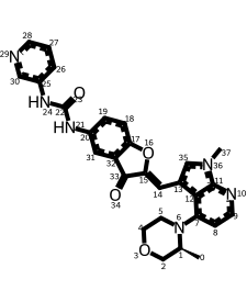 C[C@H]1COCCN1c1ccnc2c1c(C=C1Oc3ccc(NC(=O)Nc4cccnc4)cc3C1=O)cn2C